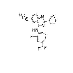 COc1ccc2nc(-c3cccnc3)nc(NC3=CCC=C(C(F)F)C=C3F)c2c1